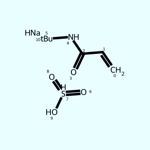 C=CC(=O)NC(C)(C)C.O=[SH](=O)O.[NaH]